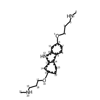 CNCCCOc1ccc2c(c1)[nH]c1cc(OCCCNC)ccc12